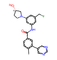 Cc1ccc(C(=O)Nc2cc(CF)cc(N3CC[C@H](O)C3)c2)cc1-c1cncnc1